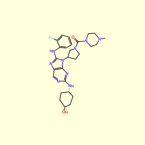 CN1CCN(C(=O)N2CCC(n3c(Nc4ccccc4F)nc4cnc(N[C@H]5CC[C@H](O)CC5)nc43)C2)CC1